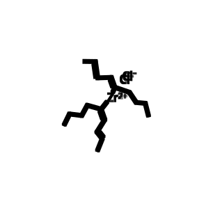 CC=CC=[C](CCCC)[Zr+2][C](=CC=CC)CCCC.[Cl-].[Cl-]